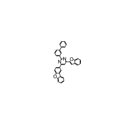 c1ccc(-c2cccc(-c3nc(-c4ccc5oc6ccccc6c5c4)cc(-c4cc5ccccc5o4)n3)c2)cc1